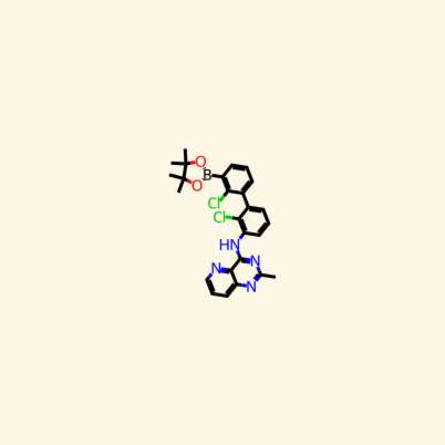 Cc1nc(Nc2cccc(-c3cccc(B4OC(C)(C)C(C)(C)O4)c3Cl)c2Cl)c2ncccc2n1